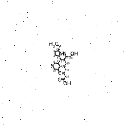 CCc1ccc2c(-c3cncc(Cl)c3)c(CCCCCC(=O)O)c(CO)nn12